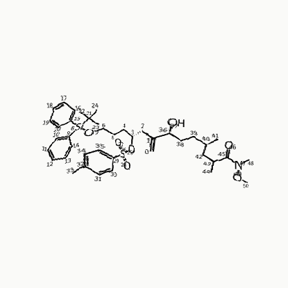 C=C(C[C@@H](CCCO[Si](c1ccccc1)(c1ccccc1)C(C)(C)C)OS(=O)(=O)c1ccc(C)cc1)[C@@H](O)CC[C@@H](C)CC(C)C(=O)N(C)OC